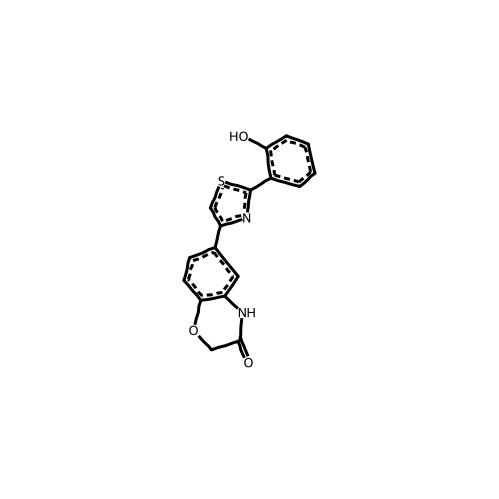 O=C1COc2ccc(-c3csc(-c4ccccc4O)n3)cc2N1